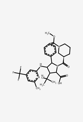 COC(=O)N1CCC[C@@H](C(=O)N2C(C(=O)O)C(C(C)(C)C)C(Nc3cc(C(F)(F)F)cc(C)n3)C2c2ccccc2)C1